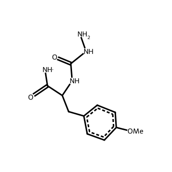 COc1ccc(CC(NC(=O)NN)C([NH])=O)cc1